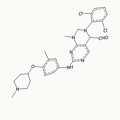 Cc1cc(Nc2ncc3c(n2)N(C)CN(c2c(Cl)cccc2Cl)C3C=O)ccc1OC1CCN(C)CC1